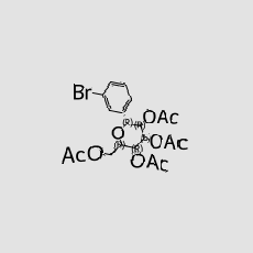 CC(=O)OC[C@H]1O[C@H](c2cccc(Br)c2)[C@@H](OC(C)=O)[C@H](OC(C)=O)[C@@H]1OC(C)=O